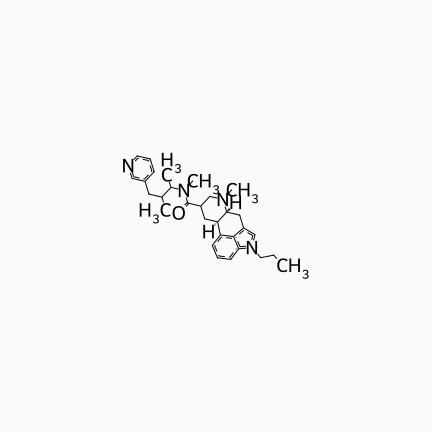 CCCn1cc2c3c(cccc31)[C@H]1CC(C(=O)N(C)C(C)C(C)Cc3cccnc3)CN(C)[C@@H]1C2